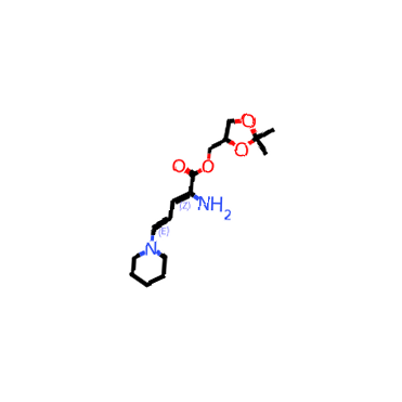 CC1(C)OCC(COC(=O)/C(N)=C/C=C/N2CCCCC2)O1